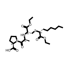 CCCCCC[C@@H](SC[C@H](N[C@@H](C)C(=O)N1CCC[C@@H]1C(=O)O)C(=O)OCC)C(=O)OCC